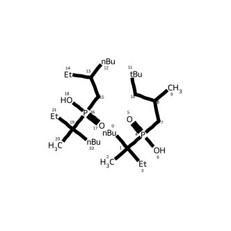 CCCCC(C)(CC)P(=O)(O)CC(C)CC(C)(C)C.CCCCC(CC)CP(=O)(O)C(C)(CC)CCCC